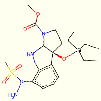 CC[Si](CC)(CC)O[C@]12CCN(C(=O)OC)C1Nc1c(N(N)S(C)(=O)=O)cccc12